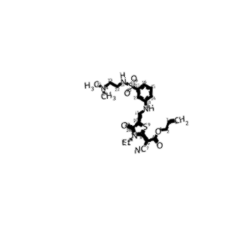 C=CCOC(=O)C(C#N)=c1sc(=CNc2cccc(S(=O)(=O)NCCN(C)C)c2)c(=O)n1CC